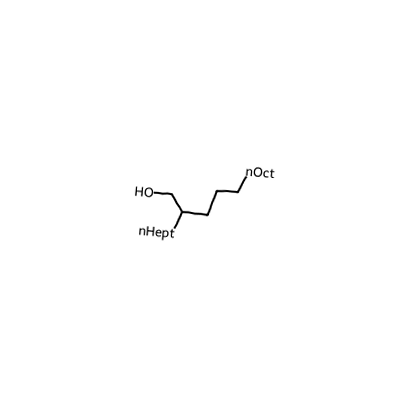 CCCCCCCCCCCC(CO)CCCCCCC